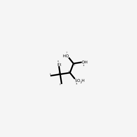 CCC(C)(C)C(C(O)O)S(=O)(=O)O